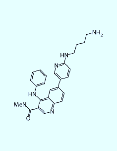 CNC(=O)c1cnc2ccc(-c3ccc(NCCCCN)nc3)cc2c1Nc1ccccc1